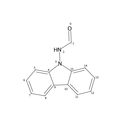 O=[C]Nn1c2ccccc2c2ccccc21